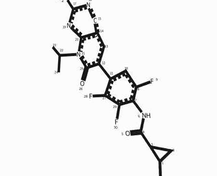 CC1CC1C(=O)Nc1c(F)cc(-c2cc3cnc(N)nc3n(C(C)C)c2=O)c(F)c1F